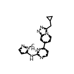 Cn1nccc1Nc1nccc(-c2ccn3c(CC4CC4)nnc3c2)n1